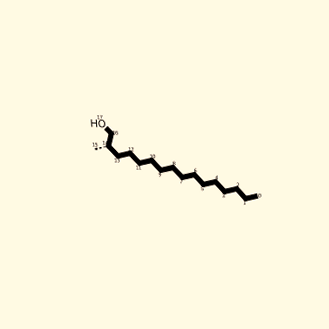 CCCCCCCCCCCCCC[C@H](C)CO